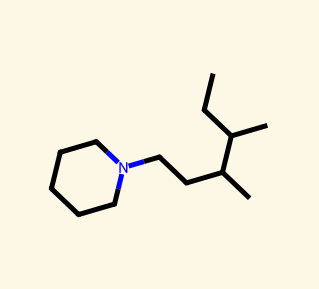 CCC(C)C(C)CCN1CCCCC1